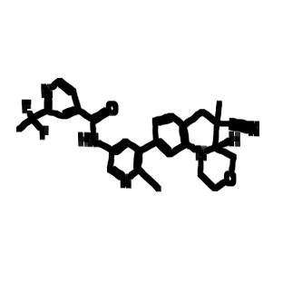 Cc1ncc(NC(=O)c2ccnc(C(C)(F)F)c2)cc1-c1ccc2c(c1)N1CCOC[C@H]1C(C)(C#N)C2